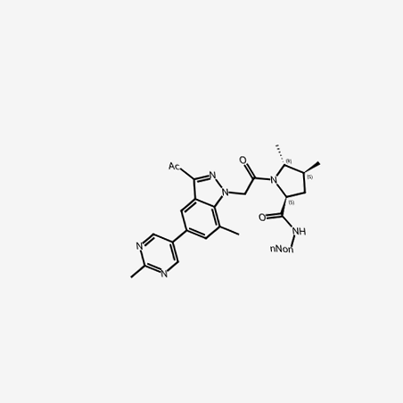 CCCCCCCCCNC(=O)[C@@H]1C[C@H](C)[C@@H](C)N1C(=O)Cn1nc(C(C)=O)c2cc(-c3cnc(C)nc3)cc(C)c21